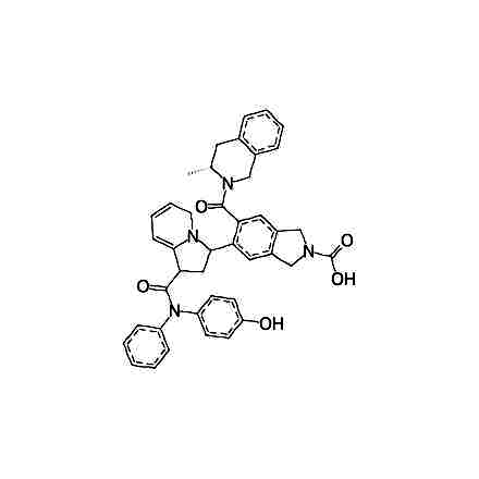 C[C@@H]1Cc2ccccc2CN1C(=O)c1cc2c(cc1C1CC(C(=O)N(c3ccccc3)c3ccc(O)cc3)C3=CC=CCN31)CN(C(=O)O)C2